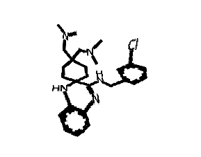 CN(C)CC1(CN(C)C)CCC2(CC1)Nc1ccccc1N=C2NCc1cccc(Cl)c1